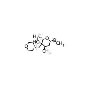 CO[C@H]1CC(C)C(O)(CN2CCOCC2)[C@H](C)O1